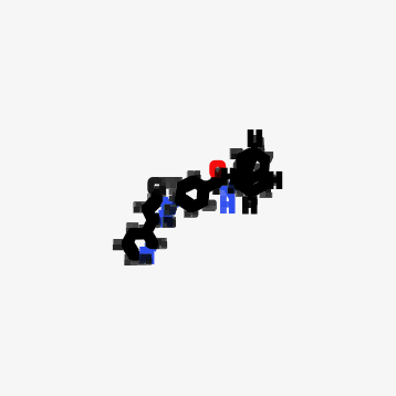 O=C(NC1[C@H]2C[C@@H]3C[C@@H](C[C@H]1C3)C2)c1ccc(-n2nc(-c3cccnc3)cc2C(F)(F)F)cc1